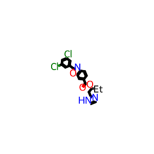 CCC(Cc1ncc[nH]1)OC(=O)c1ccc2nc(-c3cc(Cl)cc(Cl)c3)oc2c1